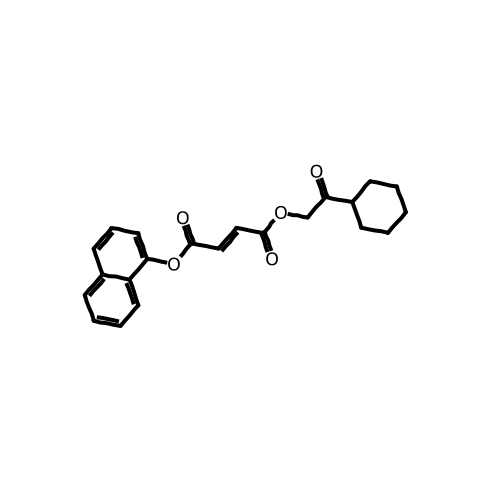 O=C(/C=C/C(=O)Oc1cccc2ccccc12)OCC(=O)C1CCCCC1